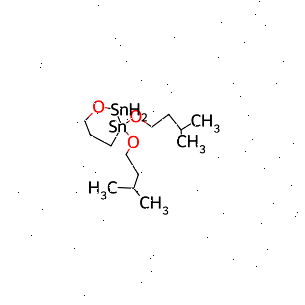 CC(C)CC[O][Sn]1([O]CCC(C)C)[CH2]CC[O][SnH2]1